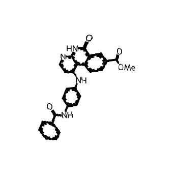 COC(=O)c1ccc2c(c1)c(=O)[nH]c1nccc(Nc3ccc(NC(=O)c4ccccc4)cc3)c12